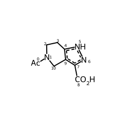 CC(=O)N1CCc2[nH]nc(C(=O)O)c2C1